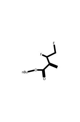 C=C(C(=O)OCCCC)C(F)CF